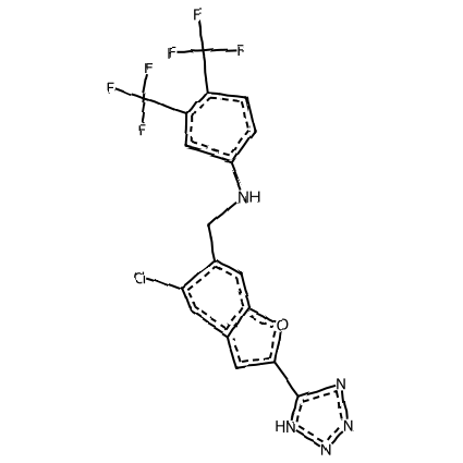 FC(F)(F)c1ccc(NCc2cc3oc(-c4nnn[nH]4)cc3cc2Cl)cc1C(F)(F)F